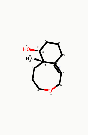 C[C@]12CCCOC/C=C\1CCC[C@@H]2O